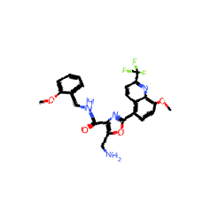 COc1ccccc1CNC(=O)c1nc(-c2ccc(OC)c3nc(C(F)(F)F)ccc23)oc1CN